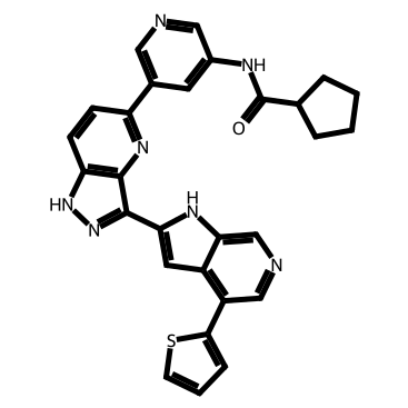 O=C(Nc1cncc(-c2ccc3[nH]nc(-c4cc5c(-c6cccs6)cncc5[nH]4)c3n2)c1)C1CCCC1